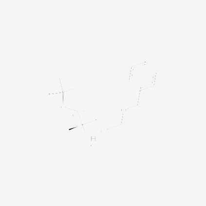 C[C@@H](COCc1ccccc1)C[C@](C)(O)[C@H]1COC(C)(C)O1